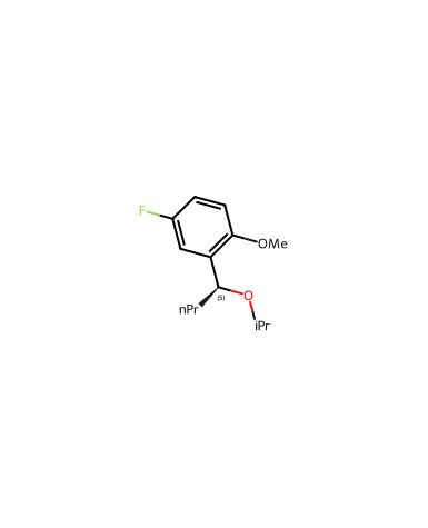 CCC[C@H](OC(C)C)c1cc(F)ccc1OC